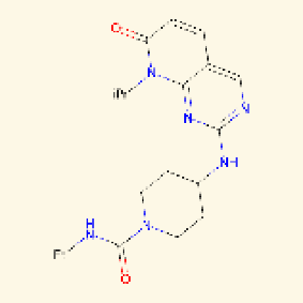 CCNC(=O)N1CCC(Nc2ncc3ccc(=O)n(C(C)C)c3n2)CC1